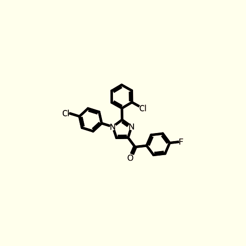 O=C(c1ccc(F)cc1)c1cn(-c2ccc(Cl)cc2)c(-c2ccccc2Cl)n1